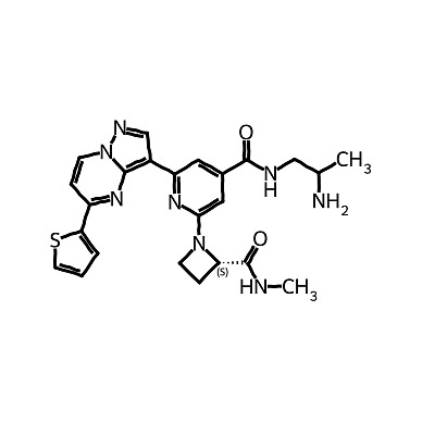 CNC(=O)[C@@H]1CCN1c1cc(C(=O)NCC(C)N)cc(-c2cnn3ccc(-c4cccs4)nc23)n1